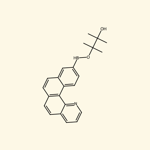 CC(C)(O)C(C)(C)OBc1ccc2c(ccc3ccc4cccnc4c32)c1